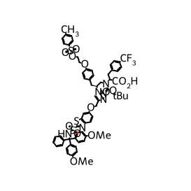 COc1ccc(C(NS(=O)(=O)c2nc3ccc(OCc4cn([C@@H](Cc5ccc(OCCOS(=O)(=O)c6ccc(C)cc6)cc5)CN(C(=O)OC(C)(C)C)C(Cc5ccc(C(F)(F)F)cc5)C(=O)O)nn4)cc3s2)(c2ccccc2)c2ccc(OC)cc2)cc1